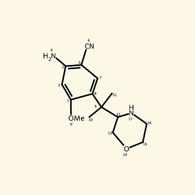 COc1cc(N)c(C#N)cc1C(C)(C)C1COCCN1